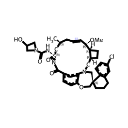 CO[C@H]1/C=C/C[C@H](C)C[S@@](=O)(NC(=O)N2CC(O)C2)=NC(=O)c2ccc3c(c2)N(C[C@@H]2CC[C@H]21)C[C@@]1(CCCc2cc(Cl)ccc21)CO3